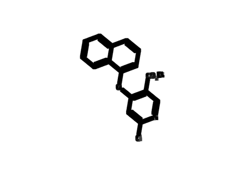 CCOC(=O)c1cnc(Cl)cc1Oc1cccc2ccccc12